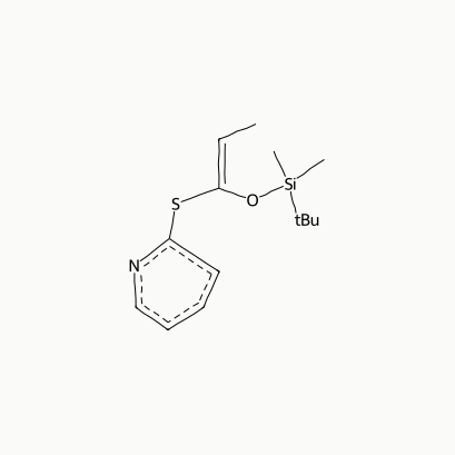 C/C=C(\O[Si](C)(C)C(C)(C)C)Sc1ccccn1